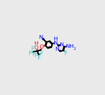 N#Cc1cc(Nc2ncc(F)c(N)n2)ccc1OCC(O)(C(F)(F)F)C(F)(F)F